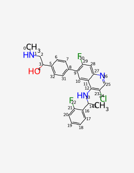 CNCC(O)c1ccc(-c2cc3c(NC(C)c4ccccc4F)c(Cl)cnc3cc2F)cc1